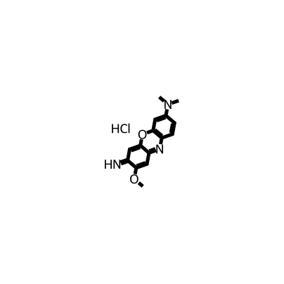 COc1cc2nc3ccc(N(C)C)cc3oc-2cc1=N.Cl